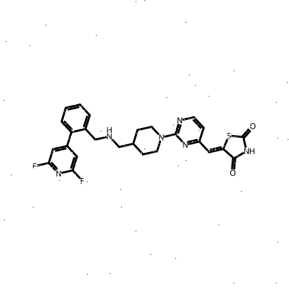 O=C1NC(=O)/C(=C/c2ccnc(N3CCC(CNCc4ccccc4-c4cc(F)nc(F)c4)CC3)n2)S1